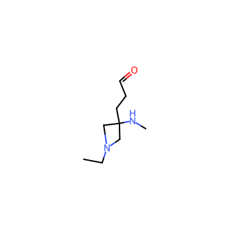 CCN1CC(CCC=O)(NC)C1